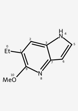 CCc1cc2[nH]ccc2nc1OC